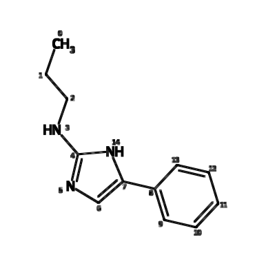 CCCNc1ncc(-c2ccccc2)[nH]1